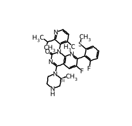 CSc1cccc(F)c1-c1nc2c(cc1F)c(N1CCNC[C@@H]1C)nc(=O)n2-c1c(C)ccnc1C(C)C